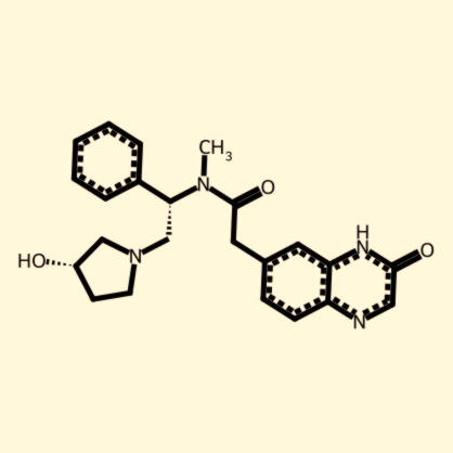 CN(C(=O)Cc1ccc2ncc(=O)[nH]c2c1)[C@H](CN1CC[C@H](O)C1)c1ccccc1